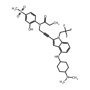 CCC(=O)N(CC#Cc1cc2c(NC3CCC(N(C)C)CC3)cccc2n1CC(F)(F)F)c1ccc(S(C)(=O)=O)cc1O